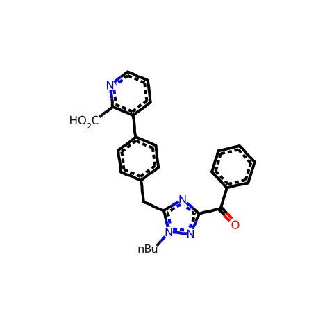 CCCCn1nc(C(=O)c2ccccc2)nc1Cc1ccc(-c2cccnc2C(=O)O)cc1